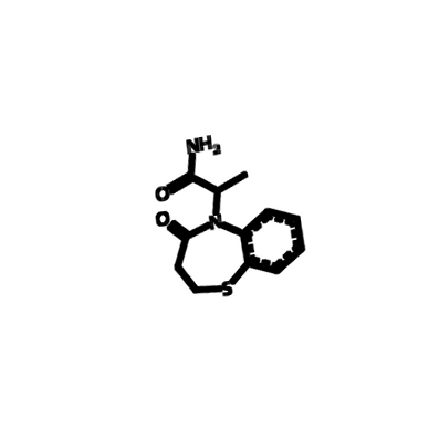 CC(C(N)=O)N1C(=O)CCSc2ccccc21